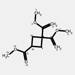 C=C(OC)C1(C(=C)OC)CC(C(=O)OC)C1